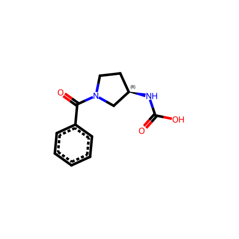 O=C(O)N[C@@H]1CCN(C(=O)c2ccccc2)C1